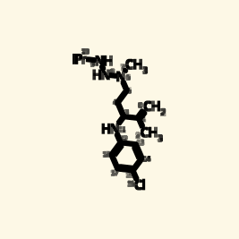 C=C(C)C(CCN(C)NNC(C)C)Nc1ccc(Cl)cc1